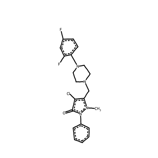 Cn1c(CN2CCN(c3ccc(F)cc3F)CC2)c(Cl)c(=O)n1-c1ccccc1